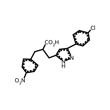 O=C(O)C(Cc1ccc([N+](=O)[O-])cc1)Cc1cc(-c2ccc(Cl)cc2)n[nH]1